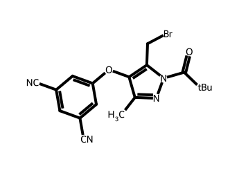 Cc1nn(C(=O)C(C)(C)C)c(CBr)c1Oc1cc(C#N)cc(C#N)c1